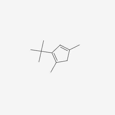 CC1=CC(C(C)(C)C)=C(C)C1